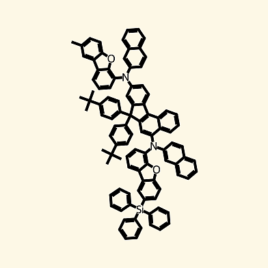 Cc1ccc2oc3c(N(c4ccc5c(c4)C(c4ccc(C(C)(C)C)cc4)(c4ccc(C(C)(C)C)cc4)c4cc(N(c6ccc7ccccc7c6)c6cccc7c6oc6ccc([Si](c8ccccc8)(c8ccccc8)c8ccccc8)cc67)c6ccccc6c4-5)c4ccc5ccccc5c4)cccc3c2c1